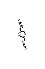 S=C=NCC1CSC(CN=C=S)CS1